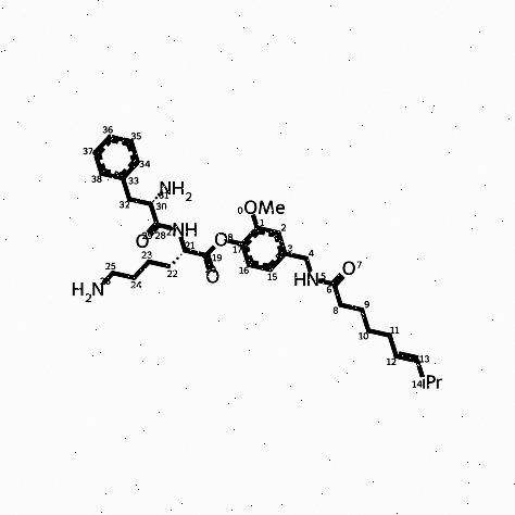 COc1cc(CNC(=O)CCCC/C=C/C(C)C)ccc1OC(=O)[C@H](CCCCN)NC(=O)[C@@H](N)Cc1ccccc1